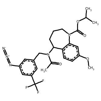 COc1ccc2c(c1)N(C(=O)OC(C)C)CCCC2N(Cc1cc(N=[N+]=[N-])cc(C(F)(F)F)c1)C(C)=O